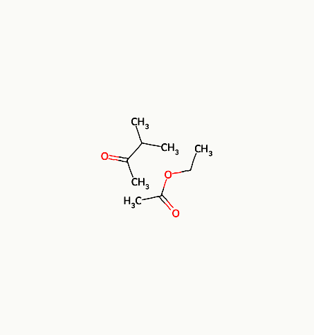 CC(=O)C(C)C.CCOC(C)=O